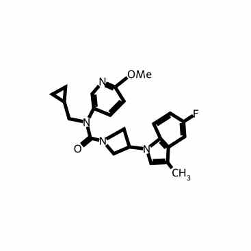 COc1ccc(N(CC2CC2)C(=O)N2CC(n3cc(C)c4cc(F)ccc43)C2)cn1